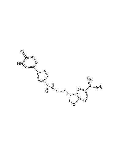 N=C(N)c1ccc2c(c1)C(CCNC(=O)c1ccc(-c3ccc(=O)[nH]c3)cc1)CO2